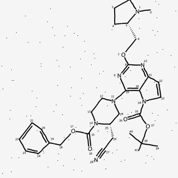 CN1CCC[C@H]1COc1nc(N2CCN(C(=O)OCc3ccccc3)[C@@H](CC#N)C2)c2c(ccn2C(=O)OC(C)(C)C)n1